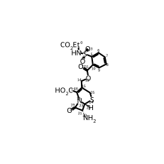 CCOC(=O)NS(=O)(=O)c1ccccc1C(=O)OCC1=C(C(=O)O)N2C(=O)[C@@H](N)[C@H]2SC1